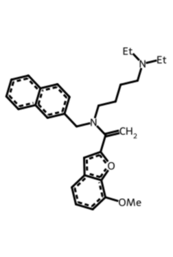 C=C(c1cc2cccc(OC)c2o1)N(CCCCN(CC)CC)Cc1ccc2ccccc2c1